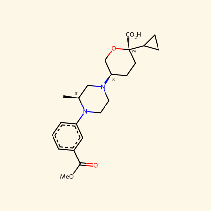 COC(=O)c1cccc(N2CCN([C@@H]3CC[C@@](C(=O)O)(C4CC4)OC3)C[C@@H]2C)c1